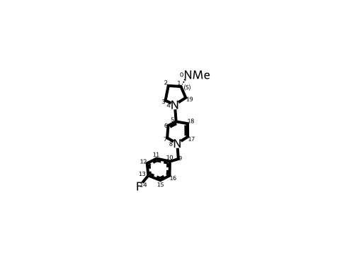 CN[C@H]1CCN(C2=CCN(Cc3ccc(F)cc3)C=C2)C1